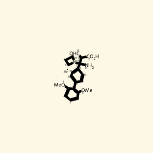 COc1cccc(OC)c1-c1ccc(C(N)(C(C=O)C(=O)O)N2CC[C@H]2C)cc1